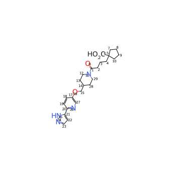 O=C(CCCC1(C(=O)O)CCCC1)N1CCC(COc2ccc(-c3ccn[nH]3)nc2)CC1